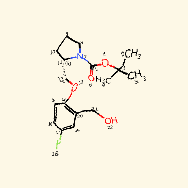 CC(C)(C)OC(=O)N1CCC[C@H]1COc1ccc(F)cc1CO